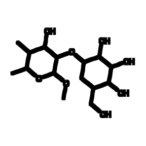 COC1OC(C)C(C)C(O)C1OC1CC(CO)C(O)C(O)C1O